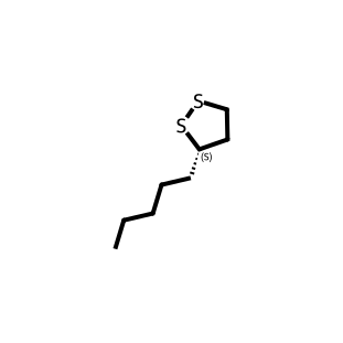 CCCCC[C@H]1CCSS1